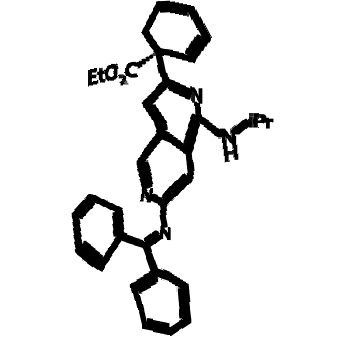 CCOC(=O)[C@@]1(c2cc3cnc(N=C(c4ccccc4)c4ccccc4)cc3c(NC(C)C)n2)C=CC=CC1